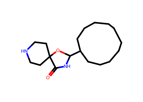 O=C1NC(C2CCCCCCCCCC2)OC12CCNCC2